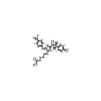 COC(=O)CCCC=C[C@@H]1C[C@@H](NS(=O)(=O)c2ccc(Cl)cc2)CN1Cc1ccc(N(C)C)cc1